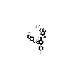 Cc1cn2cc(NC(=O)c3ccc(N4CCNCC4)c4cn(Cc5ccc6[nH]ncc6c5)nc34)cc(F)c2n1